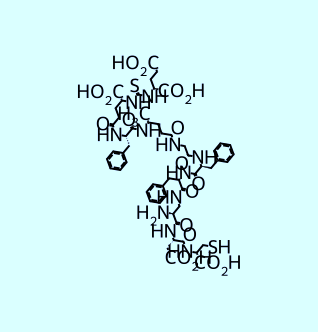 C[C@@H](CCC(=O)NCC(=O)N[C@@H](Cc1ccccc1)C(=O)NC(Cc1ccccc1)C(=O)NC[C@H](N)C(=O)N[C@@H](CC(=O)O)C(=O)N[C@@H](CS)C(=O)O)NC(=O)[C@H](Cc1ccccc1)NC(=O)CC[C@H](NC(=S)N[C@@H](CCC(=O)O)C(=O)O)C(=O)O